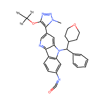 [2H]C([2H])([2H])Oc1nnn(C)c1-c1cnc2c3ccc(N=C=O)cc3n(C(c3ccccc3)C3CCOCC3)c2c1